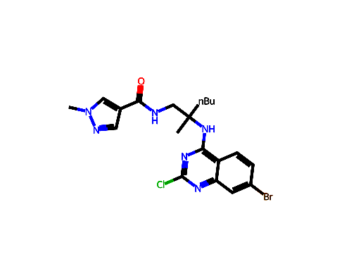 CCCCC(C)(CNC(=O)c1cnn(C)c1)Nc1nc(Cl)nc2cc(Br)ccc12